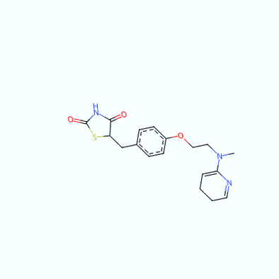 CN(CCOc1ccc(CC2SC(=O)NC2=O)cc1)C1=CCCC=N1